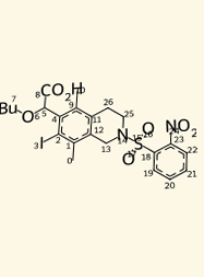 Cc1c(I)c(C(OC(C)(C)C)C(=O)O)c(C)c2c1CN(S(=O)(=O)c1ccccc1[N+](=O)[O-])CC2